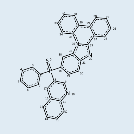 S=P(c1ccccc1)(c1cnc2ccccc2c1)c1ccc2nc3c4ccccc4c4ccccc4n3c2c1